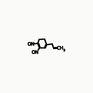 C=CCC1=CC(N=O)=C(N=O)CC1